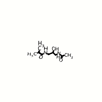 CC(=O)NCC(O)CNC(=O)C(C)C